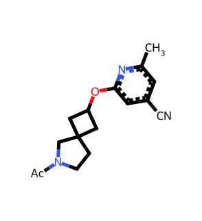 CC(=O)N1CCC2(CC(Oc3cc(C#N)cc(C)n3)C2)C1